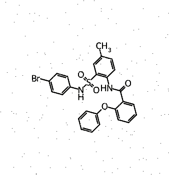 Cc1ccc(NC(=O)c2ccccc2Oc2ccccc2)c(S(=O)(=O)Nc2ccc(Br)cc2)c1